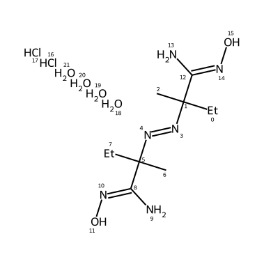 CCC(C)(N=NC(C)(CC)C(N)=NO)C(N)=NO.Cl.Cl.O.O.O.O